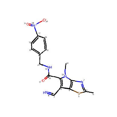 Cc1nc2c(s1)c(C=N)c(C(=O)NCc1ccc([N+](=O)[O-])cc1)n2C